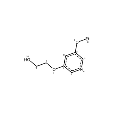 CCOc1cncc(OCCO)c1